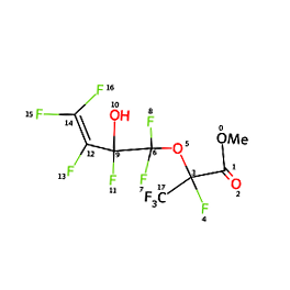 COC(=O)C(F)(OC(F)(F)C(O)(F)C(F)=C(F)F)C(F)(F)F